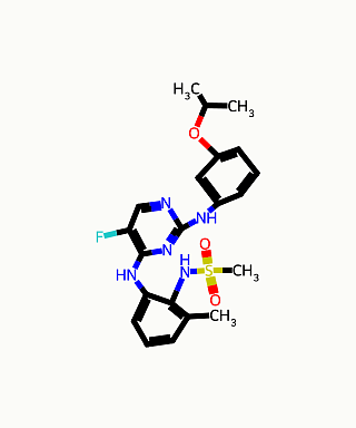 Cc1cccc(Nc2nc(Nc3cccc(OC(C)C)c3)ncc2F)c1NS(C)(=O)=O